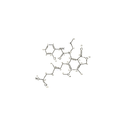 CCCN(C(=O)Nc1ccccc1Cl)c1c(C/C=C(\C)CCC(=O)O)c(OC)c(C)c2c1C(=O)OC2